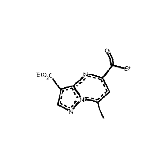 CCOC(=O)c1cnn2c(C)cc(C(=O)CC)nc12